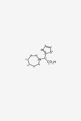 O=C(O)C(c1nccs1)N1CCCCCC1